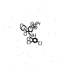 CC(C)S(=O)(=O)N1CCC(CNC(=O)c2ccc(Cl)cc2Cl)(C(=O)N2CCOCC2)CC1